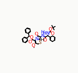 COC1=C(C(=O)OC(c2ccccc2)c2ccccc2)N2C(=O)[C@@H](NC(=O)C(NC(=O)OC(C)(C)C)C3=CCC=CC3)[C@H]2SC1